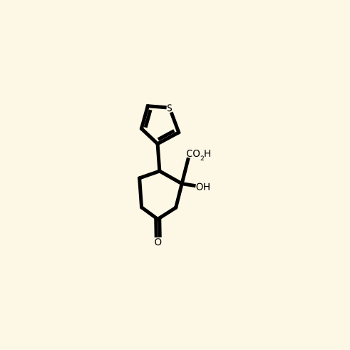 O=C1CCC(c2ccsc2)C(O)(C(=O)O)C1